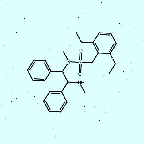 CCc1cccc(CC)c1CS(=O)(=O)N(C)C(c1ccccc1)C(NC)c1ccccc1